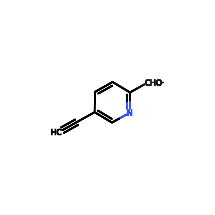 C#Cc1ccc([C]=O)nc1